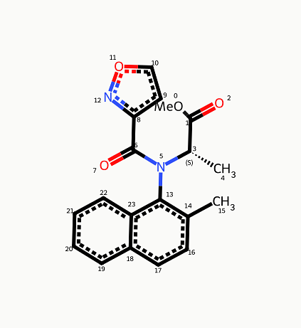 COC(=O)[C@H](C)N(C(=O)c1ccon1)c1c(C)ccc2ccccc12